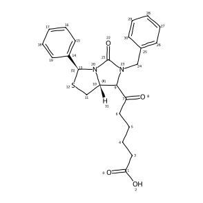 O=C(O)CCCCC(=O)C1[C@@H]2CS[C@@H](c3ccccc3)N2C(=O)N1Cc1ccccc1